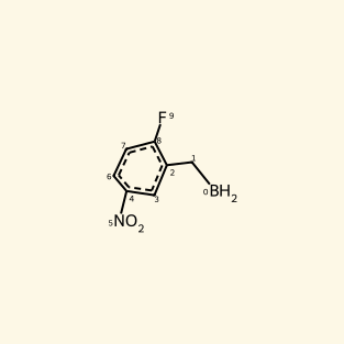 BCc1cc([N+](=O)[O-])ccc1F